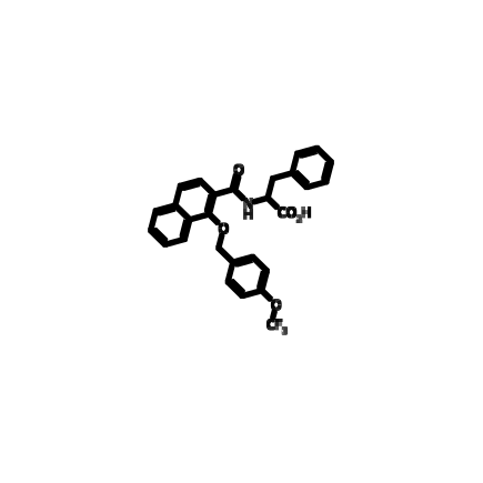 O=C(NC(Cc1ccccc1)C(=O)O)c1ccc2ccccc2c1OCc1ccc(OC(F)(F)F)cc1